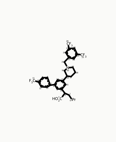 CC(C)CC(C(=O)O)c1cc(-c2ccc(C(F)(F)F)cc2)cc(C2CCCN(Cc3cc(C(F)(F)F)cc(C(F)(F)F)c3)C2)c1